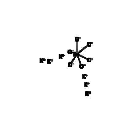 [K+].[K+].[K+].[K+].[K+].[K+].[O-][Te]([O-])([O-])([O-])([O-])[O-]